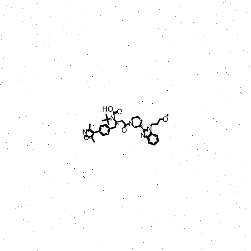 COCCCn1c([C@@H]2CCCN(C(=O)C[C@@H](Cc3ccc(-c4c(C)noc4C)cc3)N(C(=O)O)C(C)(C)C)C2)nc2ccccc21